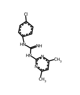 Cc1cc(C)nc(NC(=N)Nc2ccc(Cl)cc2)n1